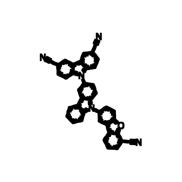 N#Cc1ccc2c(c1)c1cc(C#N)ccc1n2-c1ccc2c(c1)c1ccccc1n2-c1ccc2oc3c(C#N)cccc3c2c1